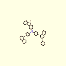 CC1(C)c2ccccc2-c2cc(N(c3ccc(-c4cccc5ccccc45)cc3)c3ccc(-c4cc(-c5ccccc5)cc5ccccc45)cc3)ccc21